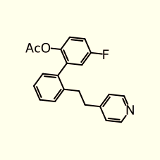 CC(=O)Oc1ccc(F)cc1-c1ccccc1CCc1ccncc1